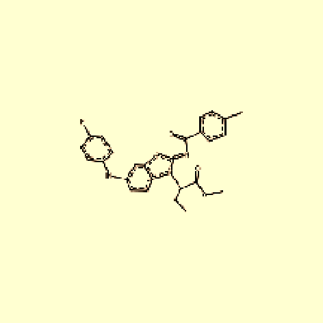 CCC(C(=O)OC)n1c(=NC(=O)c2ccc(C)cc2)sc2cc(Nc3ccc(F)cc3)ccc21